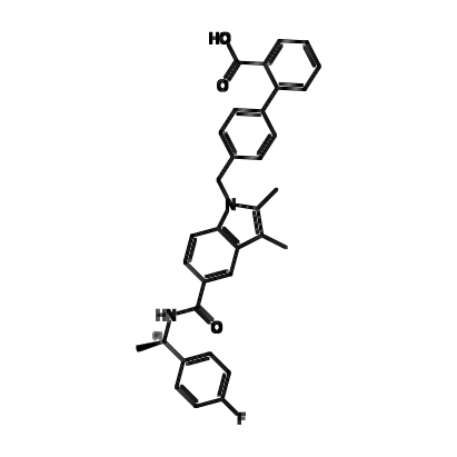 Cc1c(C)n(Cc2ccc(-c3ccccc3C(=O)O)cc2)c2ccc(C(=O)N[C@H](C)c3ccc(F)cc3)cc12